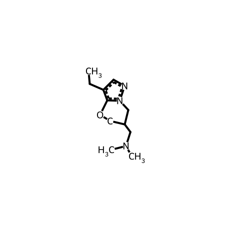 CCc1cnn2c1OCC(CN(C)C)C2